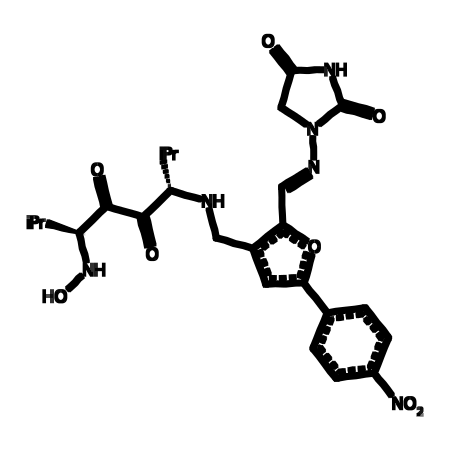 CC(C)[C@H](NO)C(=O)C(=O)[C@@H](NCc1cc(-c2ccc([N+](=O)[O-])cc2)oc1/C=N/N1CC(=O)NC1=O)C(C)C